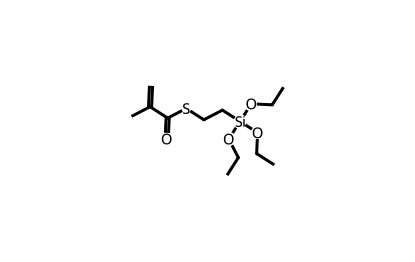 C=C(C)C(=O)SCC[Si](OCC)(OCC)OCC